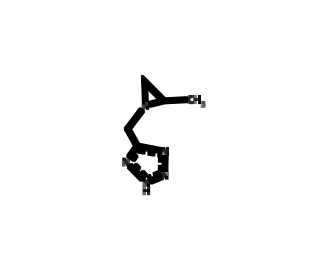 CC1CN1Cc1nn[nH]n1